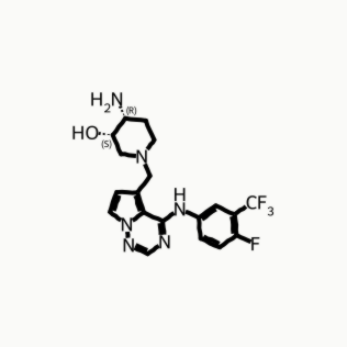 N[C@@H]1CCN(Cc2ccn3ncnc(Nc4ccc(F)c(C(F)(F)F)c4)c23)C[C@@H]1O